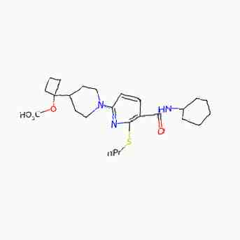 CCCSc1nc(N2CCC(C3(OC(=O)O)CCC3)CC2)ccc1C(=O)NC1CCCCC1